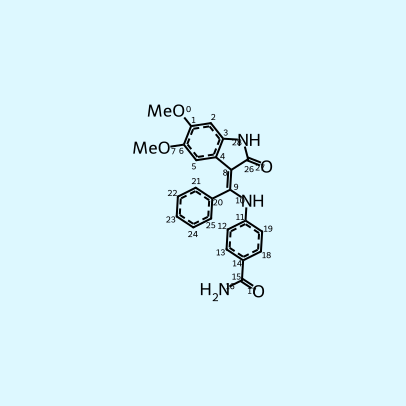 COc1cc2c(cc1OC)/C(=C(/Nc1ccc(C(N)=O)cc1)c1ccccc1)C(=O)N2